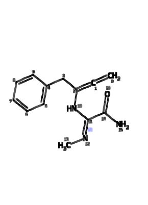 C=C=C(Cc1ccccc1)N/C(=N\C)C(N)=O